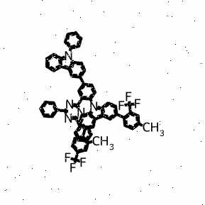 Cc1ccc(-c2ccc3c(c2)c2cc(-c4ccc(C(F)(F)F)cc4C)ccc2n3-c2ccc(-c3ccc4c(c3)c3ccccc3n4-c3ccccc3)cc2-c2nc(-c3ccccc3)nc(-c3ccccc3)n2)c(C(F)(F)F)c1